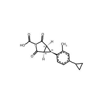 Cc1cc(C2CC2)ccc1[C@@H]1[C@@H]2C(=O)N(C(=O)O)C(=O)[C@@H]21